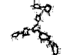 c1ccc(-c2ccc(-c3cc(-c4ccc(-c5cc6ccccc6s5)cc4)nc(-c4ccc(-n5c6ccccc6c6ccccc65)cc4)n3)cc2)cc1